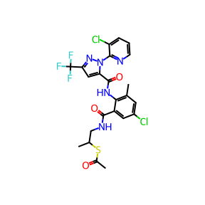 CC(=O)SC(C)CNC(=O)c1cc(Cl)cc(C)c1NC(=O)c1cc(C(F)(F)F)nn1-c1ncccc1Cl